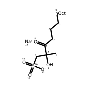 CCCCCCCCCCCC(=O)C(C)(O)CS(=O)(=O)[O-].[Na+]